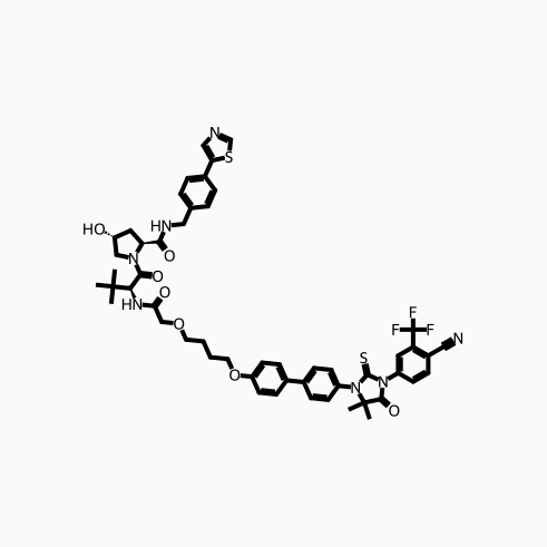 CC(C)(C)[C@H](NC(=O)COCCCCOc1ccc(-c2ccc(N3C(=S)N(c4ccc(C#N)c(C(F)(F)F)c4)C(=O)C3(C)C)cc2)cc1)C(=O)N1C[C@H](O)C[C@H]1C(=O)NCc1ccc(-c2cncs2)cc1